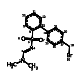 CN(C)/C=N/S(=O)(=O)c1ccccc1-c1ccc(CBr)cc1